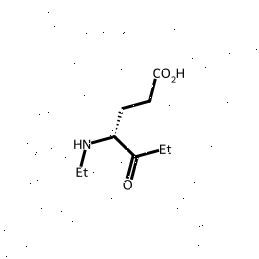 CCN[C@H](CCC(=O)O)C(=O)CC